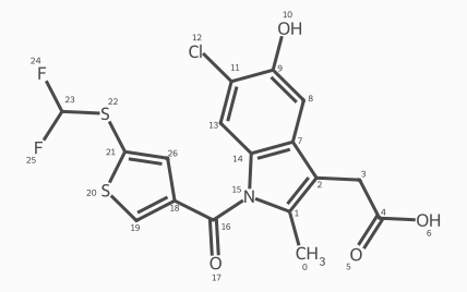 Cc1c(CC(=O)O)c2cc(O)c(Cl)cc2n1C(=O)c1csc(SC(F)F)c1